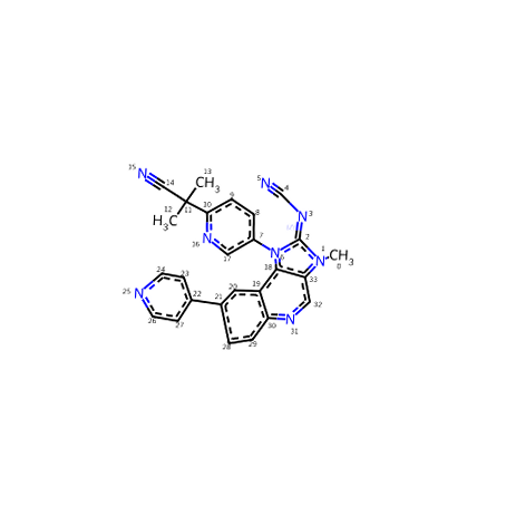 Cn1/c(=N/C#N)n(-c2ccc(C(C)(C)C#N)nc2)c2c3cc(-c4ccncc4)ccc3ncc21